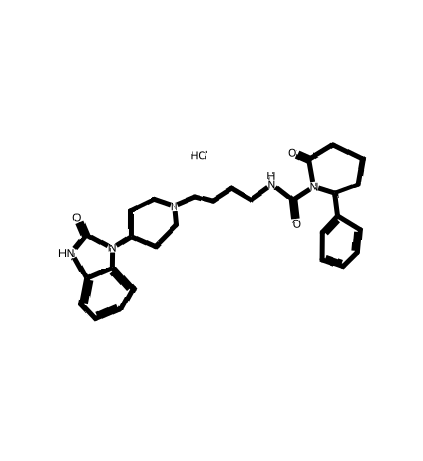 Cl.O=C1CCCC(c2ccccc2)N1C(=O)NCCCCN1CCC(n2c(=O)[nH]c3ccccc32)CC1